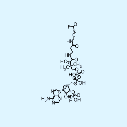 CC(C)(COP(=O)(O)OP(=O)(O)OC[C@H]1O[C@@H](n2cnc3c(N)ncnc32)[C@H](O)[C@@H]1OP(=O)(O)O)[C@@H](O)C(=O)NCCC(=O)NCCSC(=O)F